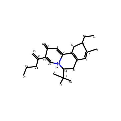 C=C1C=C2C3=C(C=C(C)C(CC)C3)CC(C(C)(C)C)N2C=C1C(=C)CCC